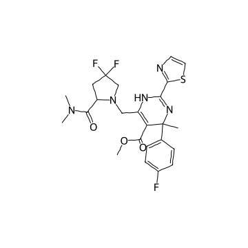 COC(=O)C1=C(CN2CC(F)(F)CC2C(=O)N(C)C)NC(c2nccs2)=NC1(C)c1ccc(F)cc1